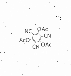 CC(=O)Oc1c(C#N)c(OC(C)=O)c(C#N)c(OC(C)=O)c1C#N